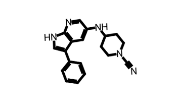 N#CN1CCC(Nc2cnc3[nH]cc(-c4ccccc4)c3c2)CC1